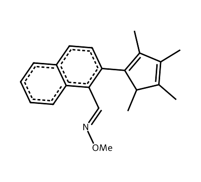 CON=Cc1c(C2=C(C)C(C)=C(C)C2C)ccc2ccccc12